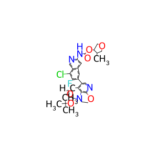 Cc1c(-c2cc3cc(NC(=O)OC4COCC4C)ncc3c(Cl)c2F)cnc2c1N(C(=O)OC(C)(C)C)CCO2